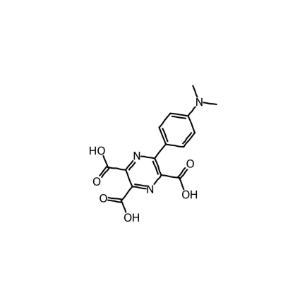 CN(C)c1ccc(-c2nc(C(=O)O)c(C(=O)O)nc2C(=O)O)cc1